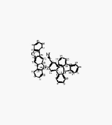 N#Cc1ccc(-c2ccccc2-n2c3ccccc3c3ccccc32)cc1N1C2=C(CCC=C2)C2C=c3oc4c(c3=CC21)CCC=C4